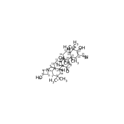 CC1(C)CC[C@]2(CN3CC(O)C3)CC[C@]3(C)[C@H](C(=O)C=C4[C@@]5(C)CC(C#N)=C(O)C(C)(C)[C@@H]5CC[C@]43C)[C@@H]2C1